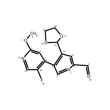 COc1cc(-c2cnc(C=O)cc2C2OCCO2)c(F)cn1